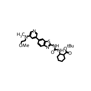 COCCN(C)c1cncc(-c2ccc3nc(NC(=O)NC4CCCCC4C(=O)OC(C)(C)C)sc3c2)c1